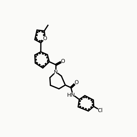 Cc1ccc(-c2cccc(C(=O)N3CCCC(C(=O)Nc4ccc(Cl)cc4)C3)c2)o1